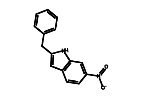 O=[N+]([O-])c1ccc2cc(Cc3ccccc3)[nH]c2c1